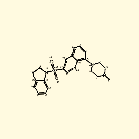 CN1CCN(c2cccc3cc(S(=O)(=O)N4CCc5ccccc54)cnc23)CC1